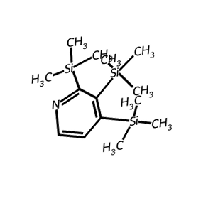 C[Si](C)(C)c1ccnc([Si](C)(C)C)c1[Si](C)(C)C